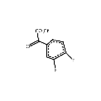 CCOC(=O)C(=O)c1ccc(F)c(F)c1